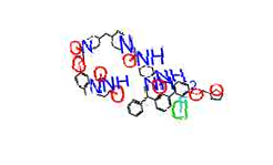 Cc1ccc(OCC(=O)N2CCC(CC3CCN(CC(=O)NC4CCC(NCC(c5ccccc5)c5ccc(Cl)c(-c6c(C(N)=O)ccc(OC[C@@H]7CCCO7)c6F)c5)CC4)CC3)CC2)cc1N1CCC(=O)NC1=O